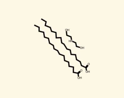 CCCCCCCCCCCCCCCCCC(=O)O.CCCCCCCCCCCCCCCCCC(=O)O.OCCNCCO